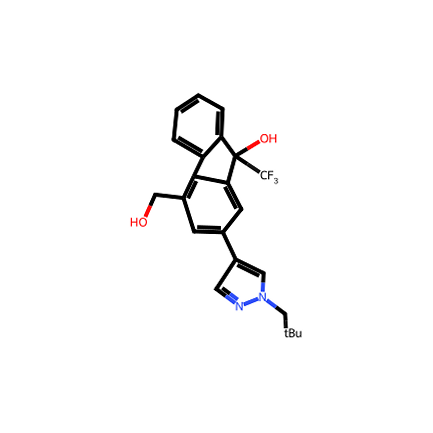 CC(C)(C)Cn1cc(-c2cc(CO)c3c(c2)C(O)(C(F)(F)F)c2ccccc2-3)cn1